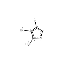 Cn1ncc(F)c1C(C)(C)C